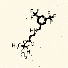 CC(C)(C)OC(=O)CCNCc1cc(C(F)(F)F)cc(C(F)(F)F)c1